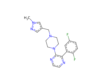 Cn1cc(CN2CCN(c3nccnc3-c3cc(F)ccc3F)CC2)cn1